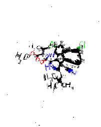 COC(=O)[C@@H](NC(=O)[C@H]1N[C@H](CC(C)(C)C)[C@@](C#N)(c2ccc(Cl)cc2)[C@@H]1c1cccc(Cl)c1)C(C)C